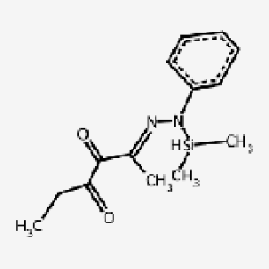 CCC(=O)C(=O)C(C)=NN(c1ccccc1)[SiH](C)C